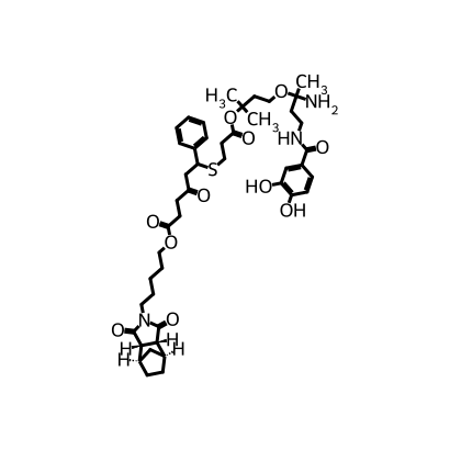 CC(C)(CCOC(C)(N)CCNC(=O)c1ccc(O)c(O)c1)OC(=O)CCSC(CC(=O)CCC(=O)OCCCCCN1C(=O)[C@@H]2[C@H]3CC[C@H](C3)[C@@H]2C1=O)c1ccccc1